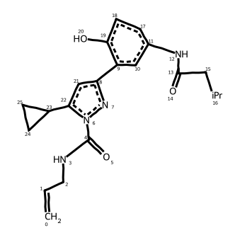 C=CCNC(=O)n1nc(-c2cc(NC(=O)CC(C)C)ccc2O)cc1C1CC1